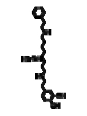 Br.Br.Oc1ccc(CCNCCCCCCCCNCCc2ccccc2)cc1O